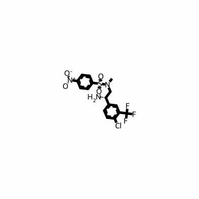 CN(C[C@@H](N)c1ccc(Cl)c(C(F)(F)F)c1)S(=O)(=O)c1ccc([N+](=O)[O-])cc1